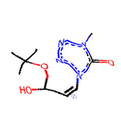 Cn1nnn(/C=C\C(O)OC(C)(C)C)c1=O